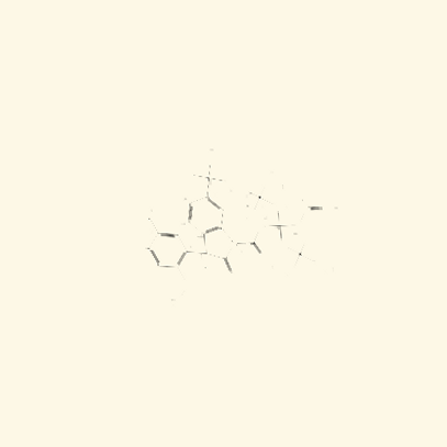 COc1ccc(Cl)cc1[C@]1(F)C(=O)N(C(=O)OC(OP=O)(OC(C)(C)C)OC(C)(C)C)c2cc(C(F)(F)F)ccc21